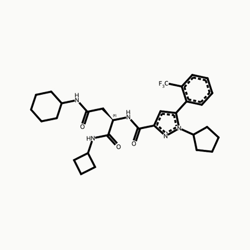 O=C(C[C@@H](NC(=O)c1cc(-c2ccccc2C(F)(F)F)n(C2CCCC2)n1)C(=O)NC1CCC1)NC1CCCCC1